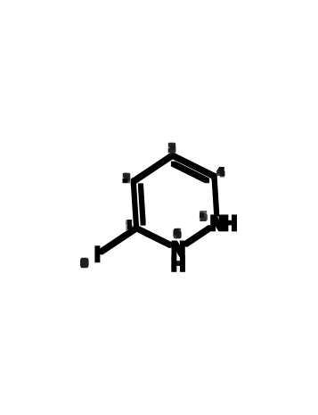 IC1=CC=CNN1